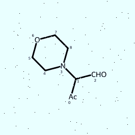 CC(=O)C(C=O)N1CCOCC1